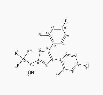 Cc1cc(Cl)ccc1-c1cc(C(O)C(F)(F)F)sc1-c1ccc(Cl)cc1C